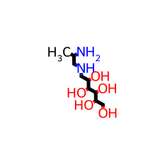 CC(N)CNCC(O)C(O)C(O)C(O)CO